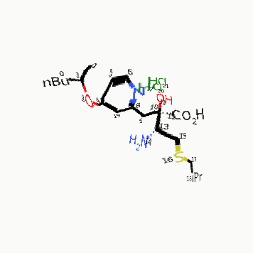 CCCC[C@@H](C)Oc1ccnc(C[C@](O)(C(=O)O)[C@@H](N)CSCC(C)C)c1.Cl.Cl